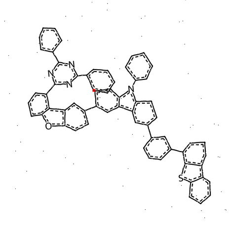 c1ccc(-c2nc(-c3ccccc3)nc(-c3cccc4oc5ccc(-c6ccc7c(c6)c6cc(-c8cccc(-c9cccc%10c9sc9ccccc9%10)c8)ccc6n7-c6ccccc6)cc5c34)n2)cc1